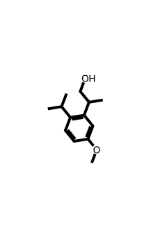 COc1ccc(C(C)C)c([C](C)CO)c1